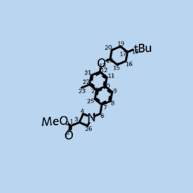 COC(=O)C1CN(Cc2ccc3cc(OC4CCC(C(C)(C)C)CC4)cc(C)c3c2)C1